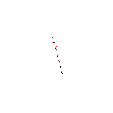 CC(C)C(C)NC(=O)CNC(=O)CCOCCOCCOCCOCCN